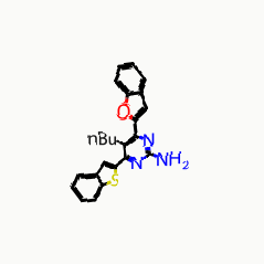 CCCCc1c(-c2cc3ccccc3o2)nc(N)nc1-c1cc2ccccc2s1